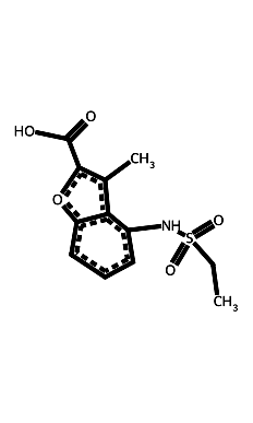 CCS(=O)(=O)Nc1cccc2oc(C(=O)O)c(C)c12